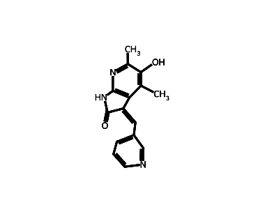 Cc1nc2c(c(C)c1O)C(=Cc1cccnc1)C(=O)N2